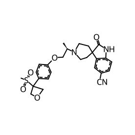 C[C@H](COc1ccc(C2(S(C)(=O)=O)COC2)cc1)N1CCC2(CC1)C(=O)Nc1ccc(C#N)cc12